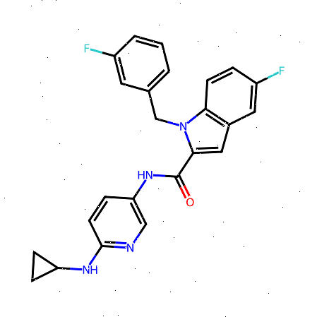 O=C(Nc1ccc(NC2CC2)nc1)c1cc2cc(F)ccc2n1Cc1cccc(F)c1